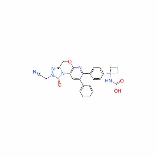 N#CCn1nc2n(c1=O)-c1cc(-c3ccccc3)c(-c3ccc(C4(NC(=O)O)CCC4)cc3)nc1OC2